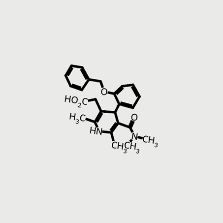 CC1=C(CC(=O)O)C(c2ccccc2OCc2ccccc2)C(C(=O)N(C)C)=C(C)N1